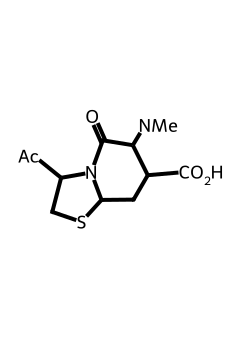 CNC1C(=O)N2C(CC1C(=O)O)SCC2C(C)=O